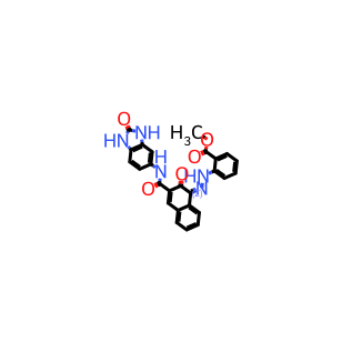 COC(=O)c1ccccc1N/N=C1\C(=O)C(C(=O)Nc2ccc3[nH]c(=O)[nH]c3c2)=Cc2ccccc21